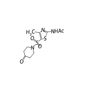 CC(=O)Nc1nc(C)c(S(=O)(=O)N2CCC(=O)CC2)s1